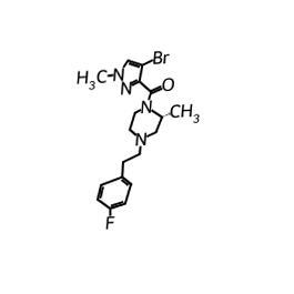 C[C@@H]1CN(CCc2ccc(F)cc2)CCN1C(=O)c1nn(C)cc1Br